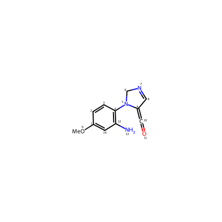 COc1ccc(N2CN=CC2=C=O)c(N)c1